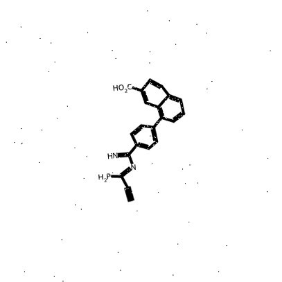 C#C/C(P)=N/C(=N)c1ccc(-c2cccc3ccc(C(=O)O)cc23)cc1